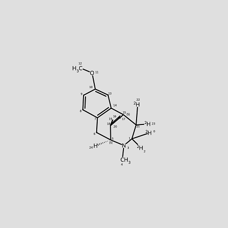 [2H]C1([2H])N(C)[C@H]2Cc3ccc(OC)cc3[C@@]3(CCCCC23)C1([2H])[2H]